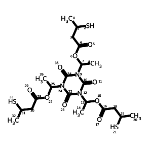 CC(S)CC(=O)OC(C)n1c(=O)n(C(C)OC(=O)CC(C)S)c(=O)n(C(C)OC(=O)CC(C)S)c1=O